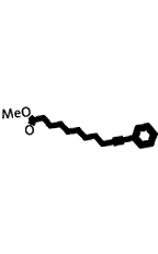 COC(=O)CCCCCCCCC#Cc1ccccc1